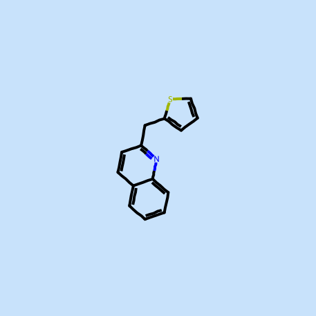 c1csc(Cc2ccc3ccccc3n2)c1